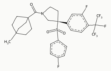 CC12CCC(C(=O)N3CC[C@](c4ccc(C(F)(C(F)(F)F)C(F)(F)F)c(F)c4)(S(=O)(=O)c4ccc(F)cc4)C3)(CC1)CC2